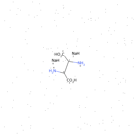 NC(C(=O)O)C(N)C(=O)O.[NaH].[NaH]